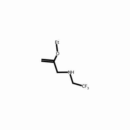 C=C(CNCC(F)(F)F)OCC